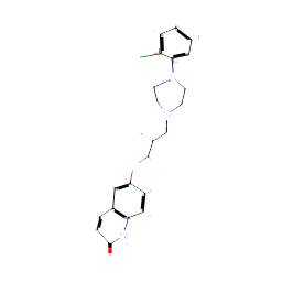 O=c1ccc2cc(OC[C@@H](O)CN3CCN(c4ccccc4F)CC3)ccc2[nH]1